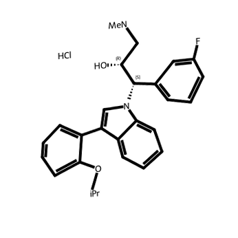 CNC[C@@H](O)[C@H](c1cccc(F)c1)n1cc(-c2ccccc2OC(C)C)c2ccccc21.Cl